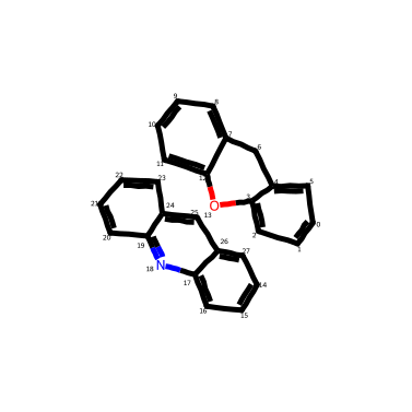 c1ccc2c(c1)Cc1ccccc1O2.c1ccc2nc3ccccc3cc2c1